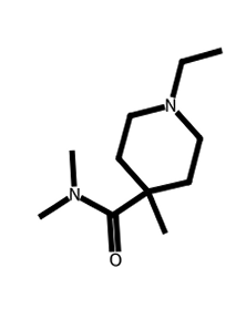 CCN1CCC(C)(C(=O)N(C)C)CC1